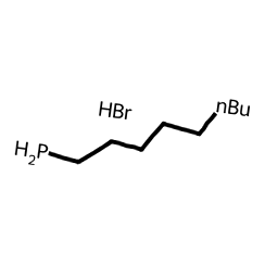 Br.CCCCCCCCCP